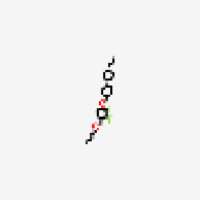 CCCCOCc1ccc(OCC2CCC([C@H]3CC[C@H](CCC)CC3)CC2)c(F)c1F